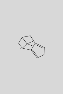 CC1(C)[C]2CC1CC1=CCC=C21